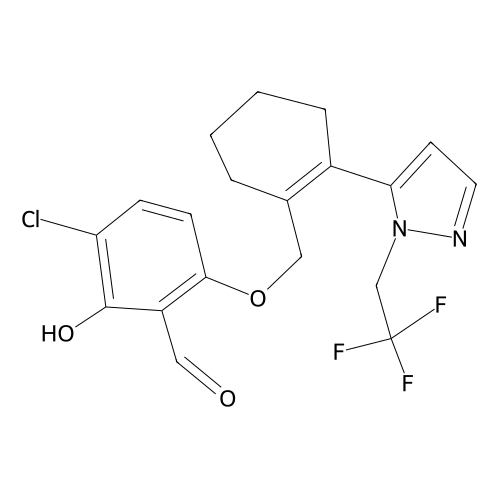 O=Cc1c(OCC2=C(c3ccnn3CC(F)(F)F)CCCC2)ccc(Cl)c1O